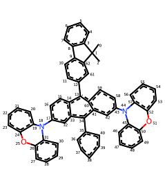 CC1(C)c2ccccc2-c2ccc(-c3c4ccc(N5c6ccccc6Oc6ccccc65)cc4c(-c4ccccc4)c4cc(N5c6ccccc6Oc6ccccc65)ccc34)cc21